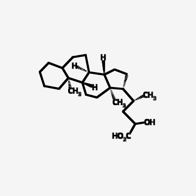 C[C@H](CC(O)C(=O)O)[C@H]1CC[C@H]2[C@@H]3CCC4CCCC[C@]4(C)[C@H]3CC[C@]12C